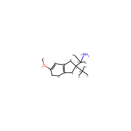 COC1=CC2=C(CC1)CC(C(C)(C)C)(C(C)(C)N)C2